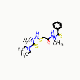 CCN(CC)C(=S)N(C)NSCC(=O)NN(C)C(=S)c1ccccc1